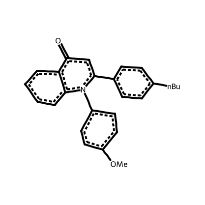 CCCCc1ccc(-c2cc(=O)c3ccccc3n2-c2ccc(OC)cc2)cc1